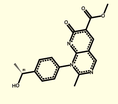 COC(=O)c1cc2cnc(C)n(-c3ccc([C@@H](C)O)cc3)c-2nc1=O